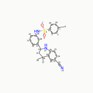 Cc1ccc(S(=O)(=O)Nc2cccc(C3CC(C)(C)c4cc(C#N)ccc4N3)c2)cc1